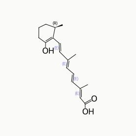 CC(/C=C/C1=C(O)CCC[C@H]1C)=C\C=C\C(C)=C\C(=O)O